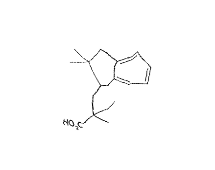 CC(C)(CC1c2ccccc2CC1(C)C)C(=O)O